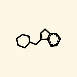 C1=C(CC2CCCCC2)c2ccccc2C1